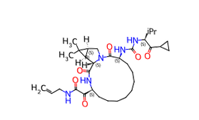 C=CCNC(=O)C(=O)[C@@H]1CCCCCCCC[C@H](NC(=O)N[C@H](C(=O)C2CC2)C(C)C)C(=O)N2C[C@H]3[C@@H]([C@H]2C(=O)N1)C3(C)C